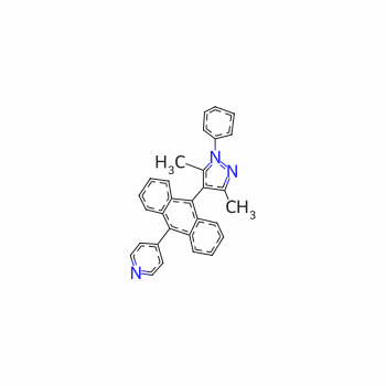 Cc1nn(-c2ccccc2)c(C)c1-c1c2ccccc2c(-c2ccncc2)c2ccccc12